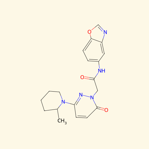 CC1CCCCN1c1ccc(=O)n(CC(=O)Nc2ccc3ocnc3c2)n1